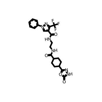 O=C(NCCNC(=O)C1CCC(c2n[nH]c(=O)o2)CC1)c1cn(-c2ccccc2)nc1C(F)(F)F